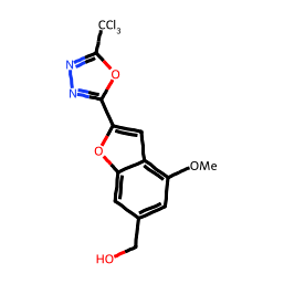 COc1cc(CO)cc2oc(-c3nnc(C(Cl)(Cl)Cl)o3)cc12